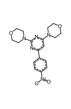 O=[N+]([O-])c1ccc(-c2cc(N3CCOCC3)nc(N3CCOCC3)n2)cc1